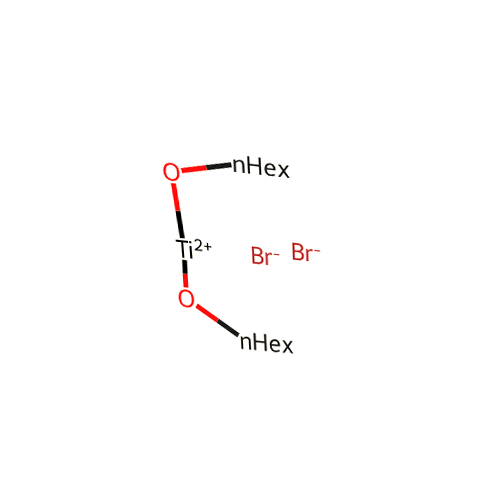 CCCCCC[O][Ti+2][O]CCCCCC.[Br-].[Br-]